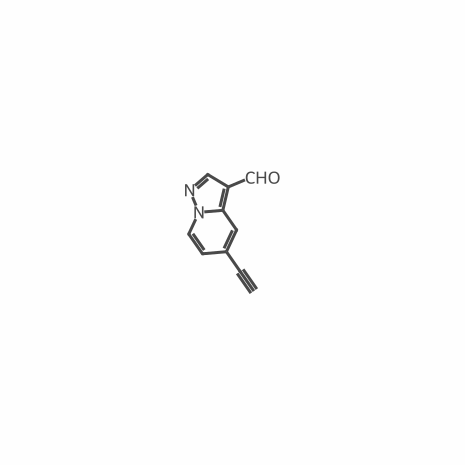 C#Cc1ccn2ncc(C=O)c2c1